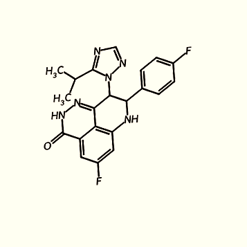 CC(C)c1ncnn1C1c2n[nH]c(=O)c3cc(F)cc(c23)NC1c1ccc(F)cc1